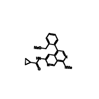 CNc1ncc(-c2ccccc2COC)c2cc(NC(=O)C3CC3)ncc12